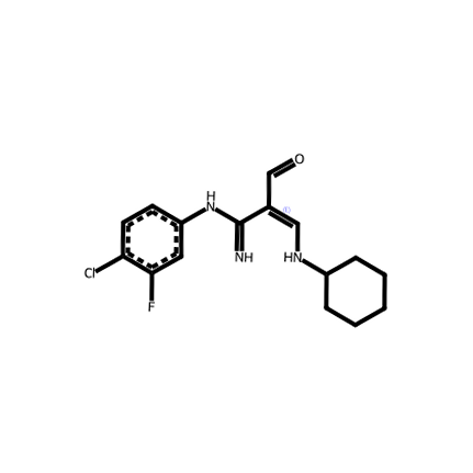 N=C(Nc1ccc(Cl)c(F)c1)/C(C=O)=C\NC1CCCCC1